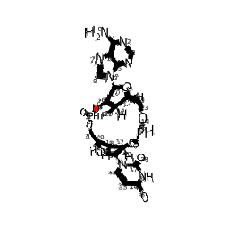 Nc1ncnc2c1ncn2[C@@H]1O[C@@H]2COPO[C@@H]3[C@H](F)[C@@H](CO[PH](=O)O[C@@H]1[C@@H]2F)O[C@H]3n1ccc(=O)[nH]c1=O